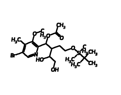 COc1c(C(OC(C)=O)C(CCO[Si](C)(C)C(C)(C)C)C(O)CO)ncc(Br)c1C